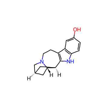 Oc1ccc2[nH]c3c(c2c1)CCN1C[C@H]2C[C@@H]3[C@@H]1C2